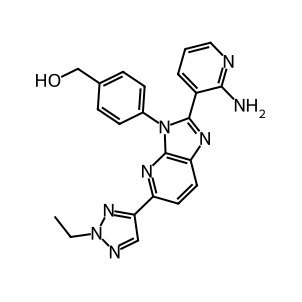 CCn1ncc(-c2ccc3nc(-c4cccnc4N)n(-c4ccc(CO)cc4)c3n2)n1